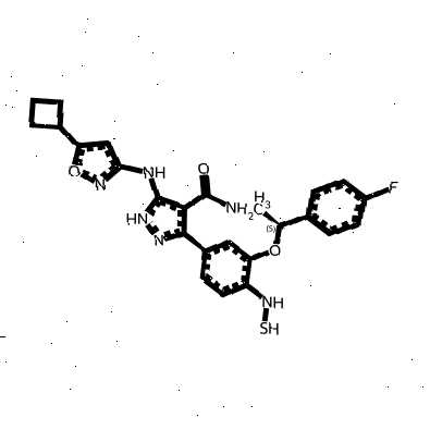 C[C@H](Oc1cc(-c2n[nH]c(Nc3cc(C4CCC4)on3)c2C(N)=O)ccc1NS)c1ccc(F)cc1